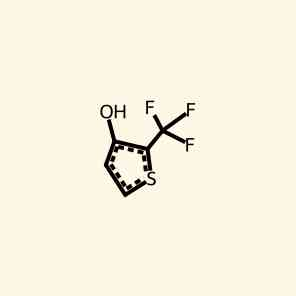 Oc1ccsc1C(F)(F)F